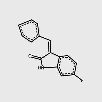 O=C1Nc2cc(F)ccc2C1=Cc1ccccc1